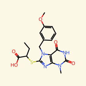 CCC(Sc1nc2c(c(=O)[nH]c(=O)n2C)n1Cc1cccc(OC)c1)C(=O)O